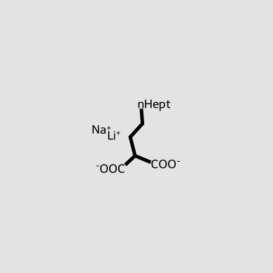 CCCCCCCCCC(C(=O)[O-])C(=O)[O-].[Li+].[Na+]